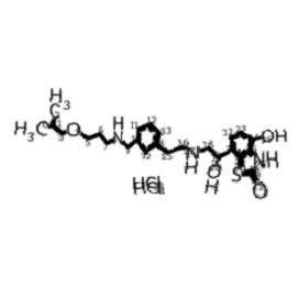 CC(C)COCCCNCc1cccc(CCNC[C@H](O)c2ccc(O)c3[nH]c(=O)sc23)c1.Cl.Cl